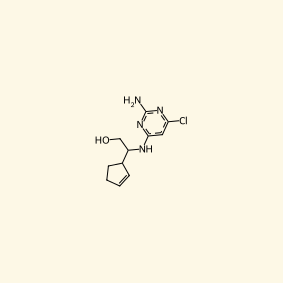 Nc1nc(Cl)cc(NC(CO)C2C=CCC2)n1